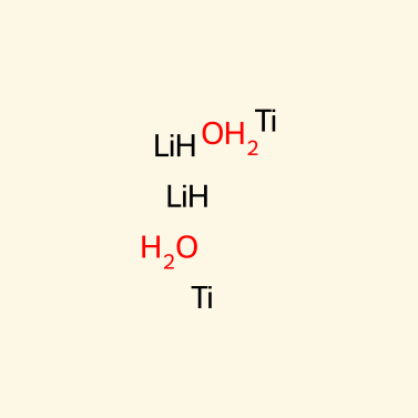 O.O.[LiH].[LiH].[Ti].[Ti]